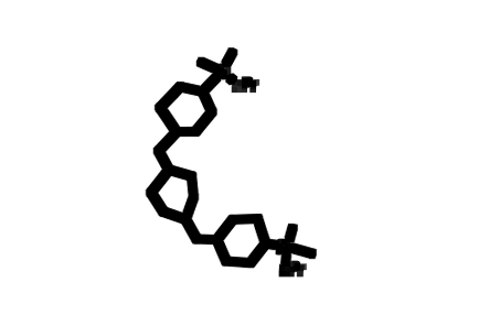 CCC[Si](C)(C)C1CCC(CC2CCC(CC3CCC([Si](C)(C)CCC)CC3)CC2)CC1